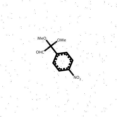 COC(C=O)(OC)c1ccc([N+](=O)[O-])cc1